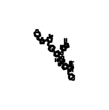 CC1(C)CCC(CN2CCN(c3ccc(C(=O)NS(=O)(=O)c4ccc(NCC5CCOCC5)c([N+](=O)[O-])c4)c(Oc4cnc5[nH]ccc5c4)c3)CC2)=C(c2ccc(CN3CCOCC3)s2)C1